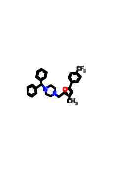 Cc1cc(-c2ccc(C(F)(F)F)cc2)oc1CN1CCN(C(c2ccccc2)c2ccccc2)CC1